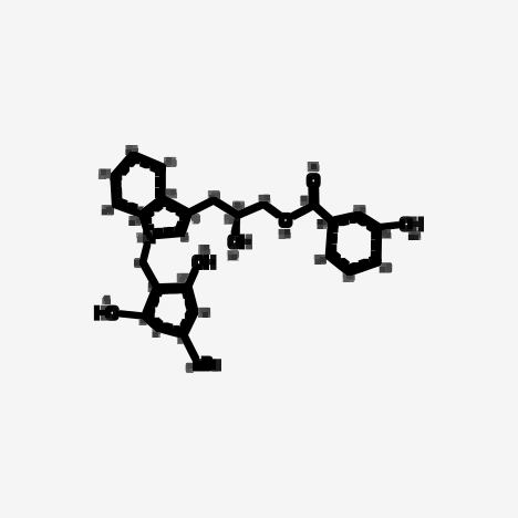 CCCCc1cc(O)c(Cn2cc(C[C@H](O)COC(=O)c3cccc(O)c3)c3ccccc32)c(O)c1